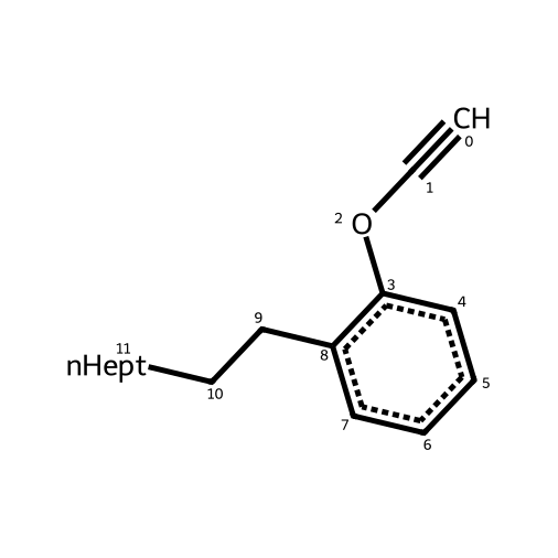 C#COc1ccccc1CCCCCCCCC